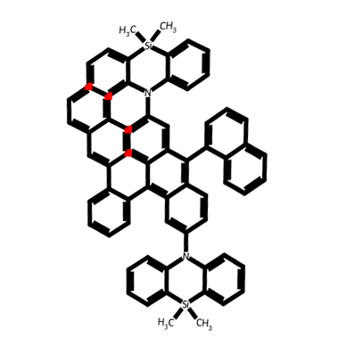 C[Si]1(C)c2ccccc2N(c2ccc3c(-c4cccc5ccccc45)c4cc(N5c6ccccc6[Si](C)(C)c6ccccc65)ccc4c(-c4ccccc4-c4ccc5ccccc5c4)c3c2)c2ccccc21